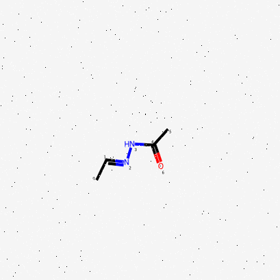 CC=NNC(C)=O